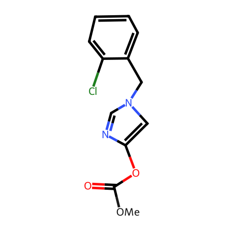 COC(=O)Oc1cn(Cc2ccccc2Cl)cn1